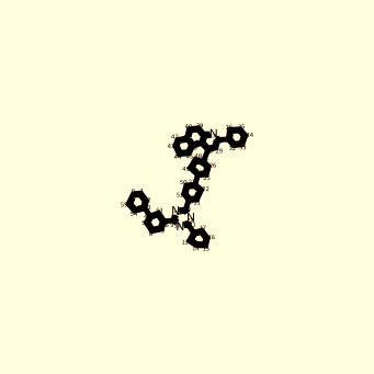 c1ccc(-c2cccc(-c3nc(-c4ccccc4)nc(-c4ccc(-c5ccc(-c6cc(-c7ccccc7)nc7ccc8ccccc8c67)cc5)cc4)n3)c2)cc1